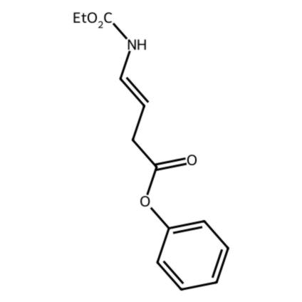 CCOC(=O)N/C=C/CC(=O)Oc1ccccc1